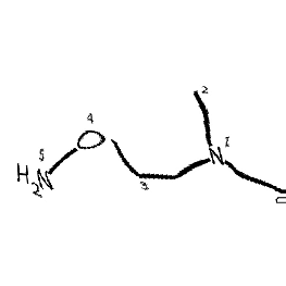 CN(C)CON